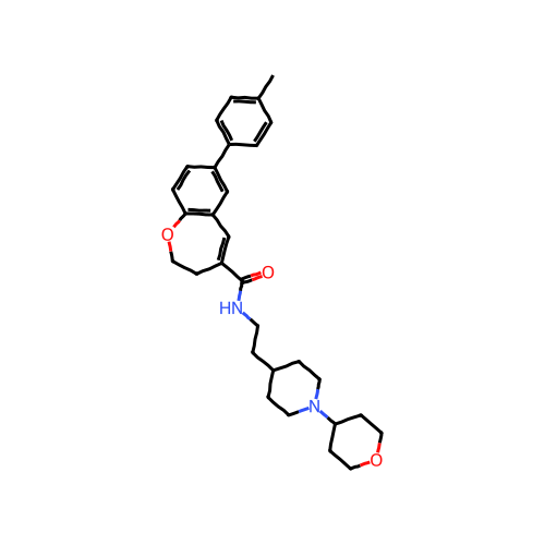 Cc1ccc(-c2ccc3c(c2)C=C(C(=O)NCCC2CCN(C4CCOCC4)CC2)CCO3)cc1